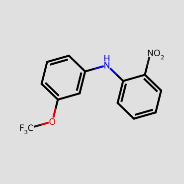 O=[N+]([O-])c1ccccc1Nc1cccc(OC(F)(F)F)c1